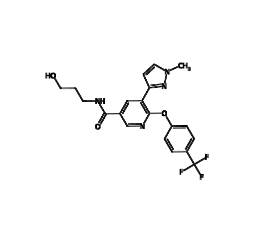 Cn1ccc(-c2cc(C(=O)NCCCO)cnc2Oc2ccc(C(F)(F)F)cc2)n1